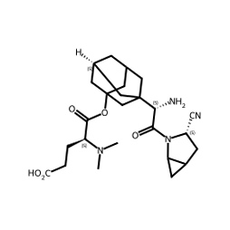 CN(C)[C@@H](CCC(=O)O)C(=O)OC12CC3C[C@H](C1)CC([C@H](N)C(=O)N1C4CC4C[C@H]1C#N)(C3)C2